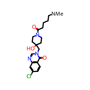 CNCCCCC(=O)N1CCC(O)(Cn2cnc3cc(Cl)ccc3c2=O)CC1